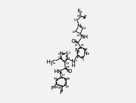 Cc1nsc(Nc2cncc(C(=O)NC3CN(CC(F)F)C3)n2)c1C(=O)Nc1ccc(F)c(F)c1